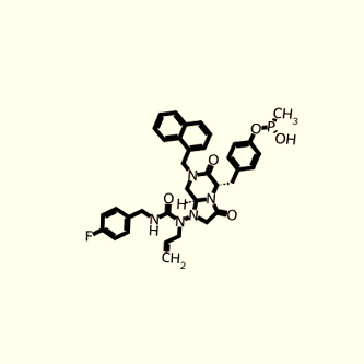 C=CCN(C(=O)NCc1ccc(F)cc1)N1CC(=O)N2[C@@H](Cc3ccc(OP(C)O)cc3)C(=O)N(Cc3cccc4ccccc34)C[C@@H]21